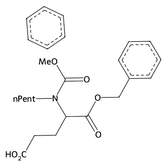 CCCCCN(C(=O)OC)C(CCC(=O)O)C(=O)OCc1ccccc1.c1ccccc1